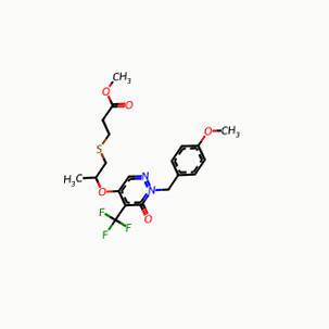 COC(=O)CCSCC(C)Oc1cnn(Cc2ccc(OC)cc2)c(=O)c1C(F)(F)F